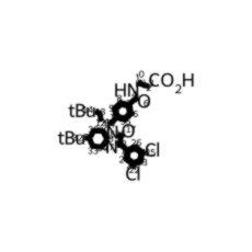 C[C@H](CC(=O)O)NC(=O)c1ccc([C@@H](CCC(C)(C)C)N2C(=O)C(c3cc(Cl)cc(Cl)c3)=NC23CCC(C(C)(C)C)CC3)cc1